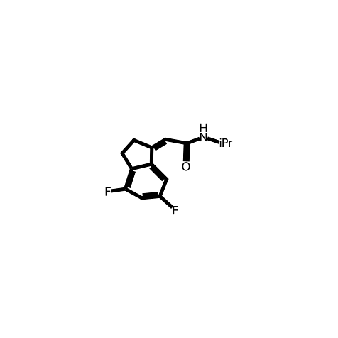 CC(C)NC(=O)/C=C1/CCc2c(F)cc(F)cc21